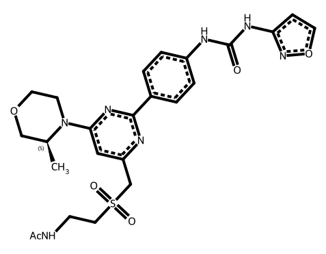 CC(=O)NCCS(=O)(=O)Cc1cc(N2CCOC[C@@H]2C)nc(-c2ccc(NC(=O)Nc3ccon3)cc2)n1